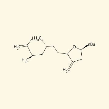 C=C1C[C@H](CCCC)OC1CC[C@@H](C)C[C@@H](C)C(=C)I